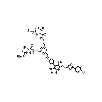 CC(C)[C@H](NC(=O)OC(C)(C)C)C(=O)NCCC(=O)O[C@@H](COCCCNC(=O)[C@@H](NC(=O)OC(C)(C)C)C(C)C=O)COc1ccc(-c2c(C#N)c(N)nc(SCc3coc(-c4ccc(Cl)cc4)n3)c2C#N)cc1